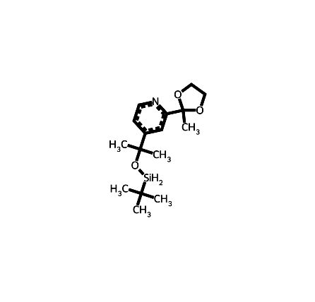 CC(C)(C)[SiH2]OC(C)(C)c1ccnc(C2(C)OCCO2)c1